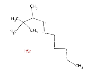 Br.CCCCCC=CC(C)C(C)(C)C